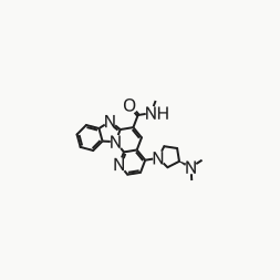 CNC(=O)c1cc2c(N3CC[C@@H](N(C)C)C3)ccnc2n2c1nc1ccccc12